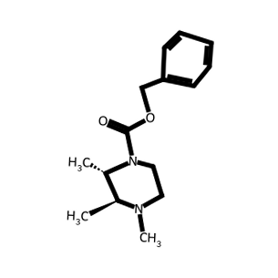 C[C@H]1[C@H](C)N(C(=O)OCc2ccccc2)CCN1C